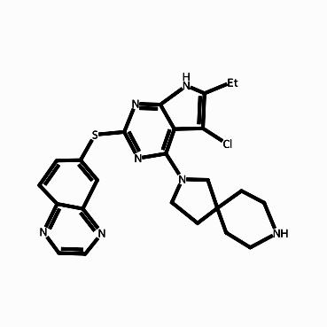 CCc1[nH]c2nc(Sc3ccc4nccnc4c3)nc(N3CCC4(CCNCC4)C3)c2c1Cl